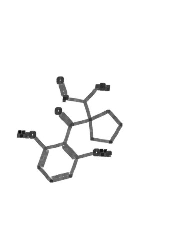 CCCCC(P=O)C1(C(=O)c2c(OC)cccc2OC)CCCC1